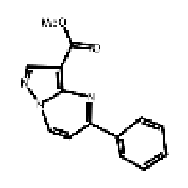 COC(=O)c1cnn2ccc(-c3ccccc3)nc12